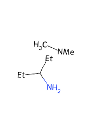 CCC(N)CC.CNC